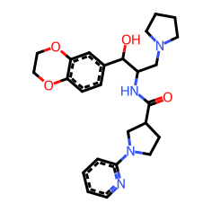 O=C(NC(CN1CCCC1)C(O)c1ccc2c(c1)OCCO2)C1CCN(c2ccccn2)C1